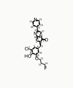 O=c1/c(=C/c2cc(Cl)c(O)c(OCCCF)c2)sc2nc(-c3ccncc3)cn12